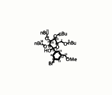 CCCCOC[C@H]1OC(O)(c2cc(Br)cc(COC)c2)[C@H](OCCCC)[C@@H](OCCCC)[C@@H]1OCCCC